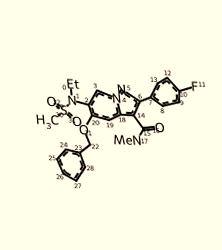 CCN(c1cn2nc(-c3ccc(F)cc3)c(C(=O)NC)c2cc1OCc1ccccc1)S(C)(=O)=O